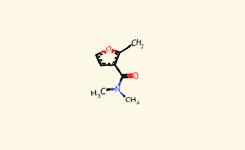 Cc1occc1C(=O)N(C)C